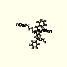 CCCCCCCCCCCCCC[n+]1c(CC(C)c2ccccc2)cn(CCCCCCCCC)c1Cc1ccccc1